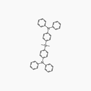 C[Si](C)(c1ccc(N(c2ccccc2)c2ccccc2)cc1)c1ccc(N(c2ccccc2)c2ccccc2)cc1